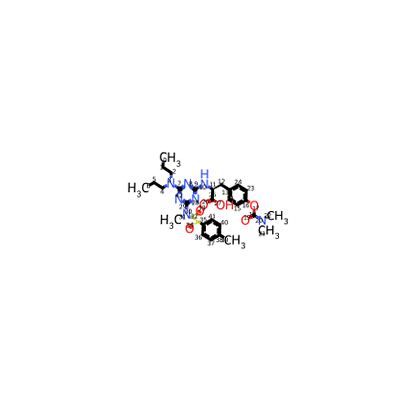 CCCN(CCC)c1nc(N[C@@H](Cc2ccc(OC(=O)N(C)C)cc2)C(=O)O)nc(N(C)S(=O)(=O)c2ccc(C)cc2)n1